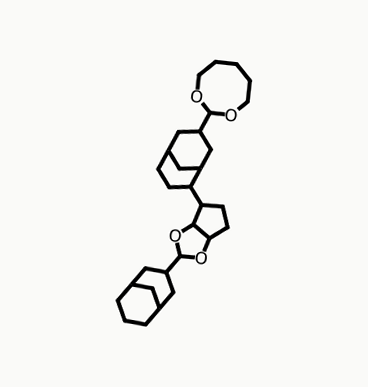 C1CCOC(C2CC3CCC(C4CCC5OC(C6CC7CCCC(C7)C6)OC54)C(C3)C2)OCC1